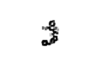 CC(CC(C)N1CCOCC1)C(=O)NC1CCC2CN(Cc3ccccc3)CC21